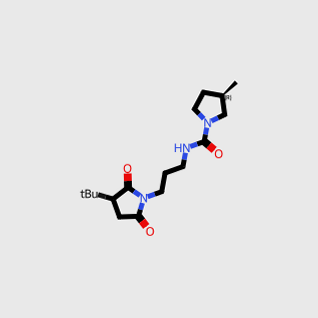 C[C@@H]1CCN(C(=O)NCCCN2C(=O)CC(C(C)(C)C)C2=O)C1